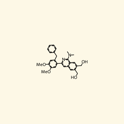 COc1cc(Cc2ccccc2)c(-c2cc3cc(CO)c(CO)cc3c(N(C)C)n2)cc1OC